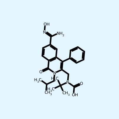 CC(C)Cn1c(CN(C(=O)O)C(C)(C)C)c(-c2ccccc2)c2cc(C(N)=NO)ccc2c1=O